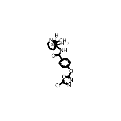 C[C@H]1[C@H](NC(=O)c2ccc(Oc3nnc(Cl)o3)cc2)C2CCN1CC2